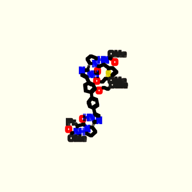 COCCOc1c(-c2ccc(-c3cnc([C@@H]4CCCN4C(=O)[C@@H](NC(=O)OC)C(C)C)[nH]3)cc2)ccc(-c2cnc([C@@H]3CCCN3C(=O)[C@H](NC(=O)OC)c3cccs3)[nH]2)c1OCCOC